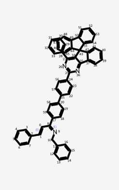 C(=C\c1ccccc1)/C(=N\Cc1ccccc1)c1ccc(-c2ccc(-c3nc(-c4ccccc4)c4c(n3)-c3ccccc3C43c4ccccc4-c4ccccc43)cc2)cc1